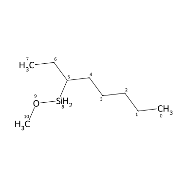 CCCCCC(CC)[SiH2]OC